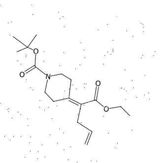 C=CCC(C(=O)OCC)=C1CCN(C(=O)OC(C)(C)C)CC1